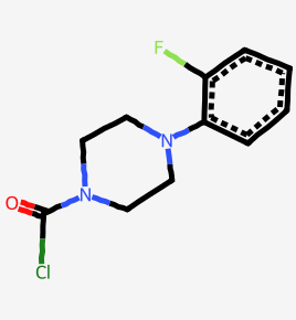 O=C(Cl)N1CCN(c2ccccc2F)CC1